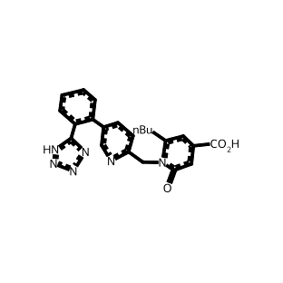 CCCCc1cc(C(=O)O)cc(=O)n1Cc1ccc(-c2ccccc2-c2nnn[nH]2)cn1